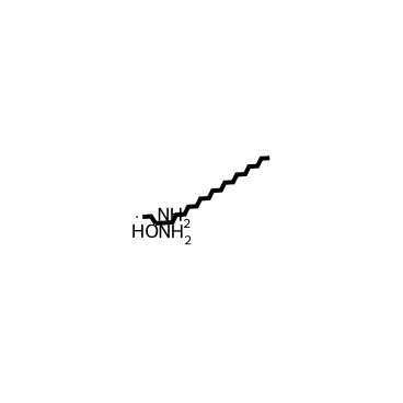 [CH2]CC(O)C(N)(N)CCCCCCCCCCCCCCCCC